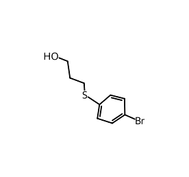 OCCCSc1ccc(Br)cc1